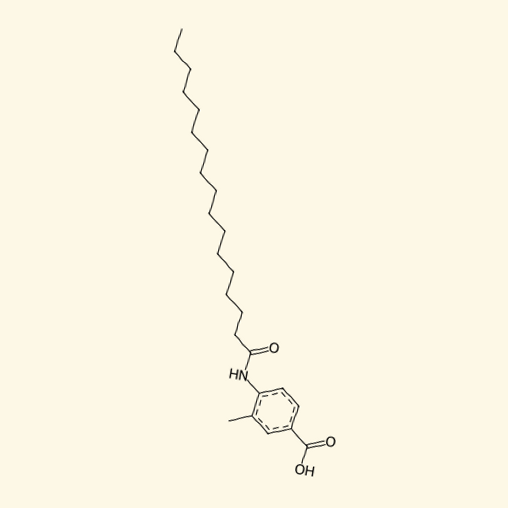 CCCCCCCCCCCCCCCCC(=O)Nc1ccc(C(=O)O)cc1C